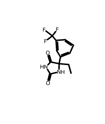 CCC1(c2cccc(C(F)(F)F)c2)NC(=O)NC1=O